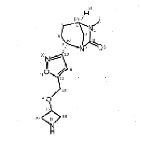 CN1C(=O)N2C[C@H]1CC[C@H]2c1cc(COC2CNC2)on1